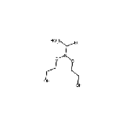 CCC(N(OCCO)OCCO)S(=O)(=O)O